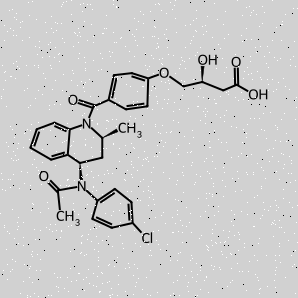 CC(=O)N(c1ccc(Cl)cc1)[C@@H]1C[C@H](C)N(C(=O)c2ccc(OC[C@@H](O)CC(=O)O)cc2)c2ccccc21